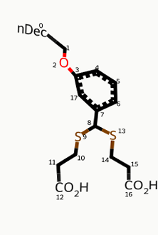 CCCCCCCCCCCOc1cccc(C(SCCC(=O)O)SCCC(=O)O)c1